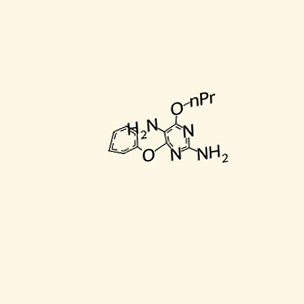 CCCOc1nc(N)nc(Oc2ccccc2)c1N